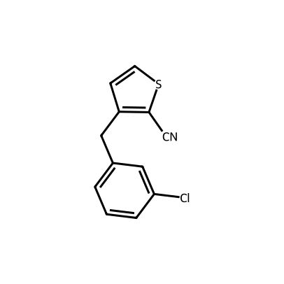 N#Cc1sccc1Cc1cccc(Cl)c1